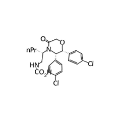 CCC[C@@H](CNC(=O)O)N1C(=O)CO[C@H](c2ccc(Cl)cc2)[C@@H]1c1ccc(Cl)cc1